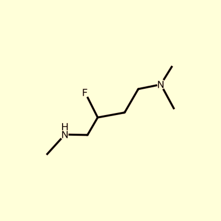 CNCC(F)CCN(C)C